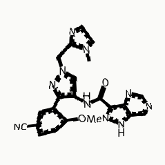 COc1ccc(C#N)cc1-c1nn(Cc2nccn2C)cc1NC(=O)c1n[nH]c2cncnc12